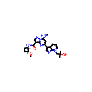 CNc1cc(-c2cnc3n(CC(C)(C)O)cccc2-3)nc2c(C(=O)N[C@@H]3CC[C@H]3OC)cnn12